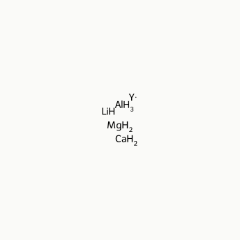 [AlH3].[CaH2].[LiH].[MgH2].[Y]